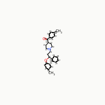 Cc1ccc(OC(CCN2CCC(C(=O)c3ccc(C)cc3)CC2)c2ccccc2)cc1